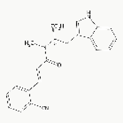 CN(C(=O)C=Cc1ccccc1C#N)[C@@H](Cc1c[nH]c2ccccc12)C(=O)O